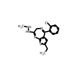 CCc1cc2c(s1)N=C(NNC)CN=C2c1ccccc1Cl